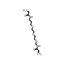 C=CC(=O)NCCCOCCOCCOCNC(=O)C=C